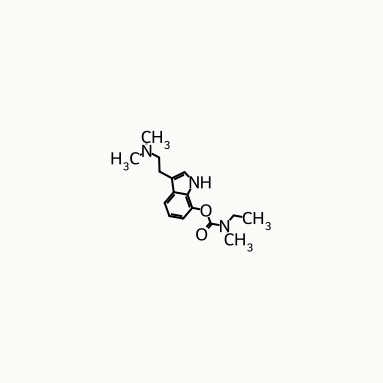 CCN(C)C(=O)Oc1cccc2c(CCN(C)C)c[nH]c12